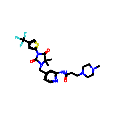 CN1CCN(CCC(=O)Nc2cc(CN3C(=O)N(c4cc(C(F)(F)F)cs4)C(=O)C3(C)C)ccn2)CC1